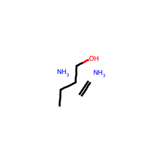 C=C.CCCCO.N.N